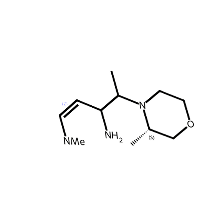 CN/C=C\C(N)C(C)N1CCOC[C@@H]1C